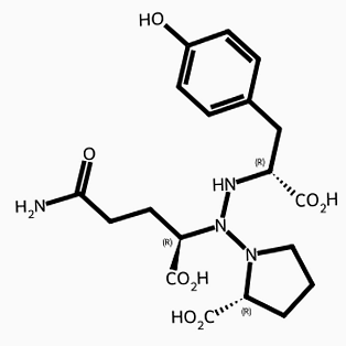 NC(=O)CC[C@H](C(=O)O)N(N[C@H](Cc1ccc(O)cc1)C(=O)O)N1CCC[C@@H]1C(=O)O